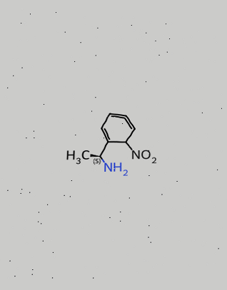 C[C@H](N)C1=CC=C=CC1[N+](=O)[O-]